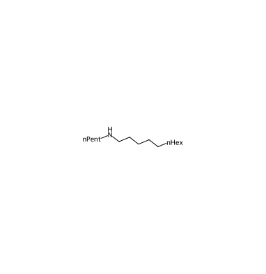 CCCCCCCCCCCNCCCCC